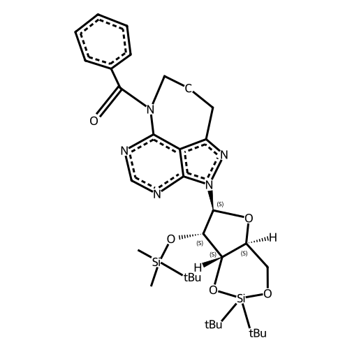 CC(C)(C)[Si](C)(C)O[C@H]1[C@H]2O[Si](C(C)(C)C)(C(C)(C)C)OC[C@@H]2O[C@@H]1n1nc2c3c(ncnc31)N(C(=O)c1ccccc1)CCC2